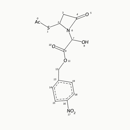 CC(=O)SC1CC(=O)N1C(O)C(=O)OCc1ccc([N+](=O)[O-])cc1